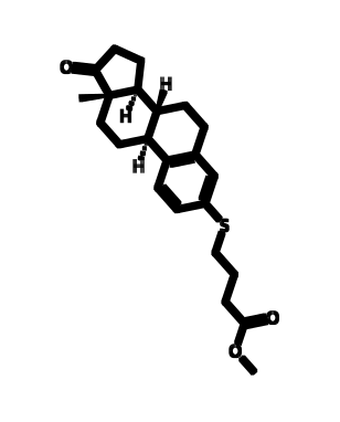 COC(=O)CCCSc1ccc2c(c1)CC[C@@H]1[C@@H]2CC[C@]2(C)C(=O)CC[C@@H]12